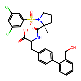 C[C@@]1(C(=O)NC(Cc2ccc(-c3ccccc3CO)cc2)C(=O)O)CCCN1S(=O)(=O)c1cc(Cl)cc(Cl)c1